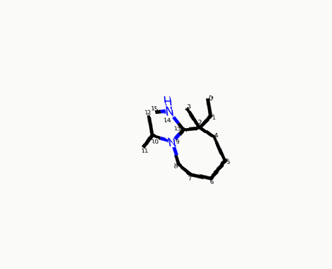 CCC1(C)CCCCCN(C(C)C)C1NC